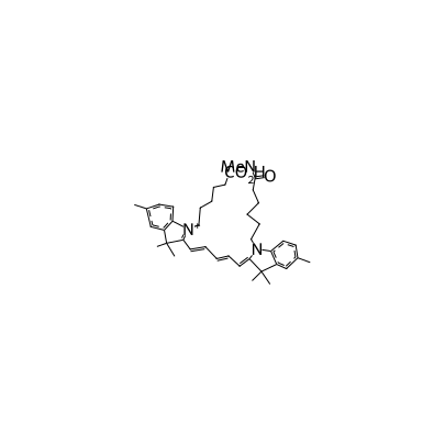 CNC(=O)CCCCCN1C(=CC=CC=CC2=[N+](CCCCCC(=O)O)c3ccc(C)cc3C2(C)C)C(C)(C)c2cc(C)ccc21